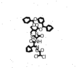 O=C(N[C@@H]1C(=O)N2C(C(=O)OC(c3ccccc3)c3ccccc3)=C(COC(=O)c3ccccc3)CS[C@@H]12)C(=NOC(=O)C(Cl)Cl)c1ccccc1